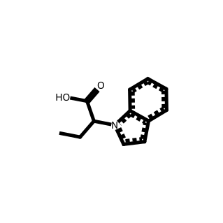 CCC(C(=O)O)n1ccc2ccccc21